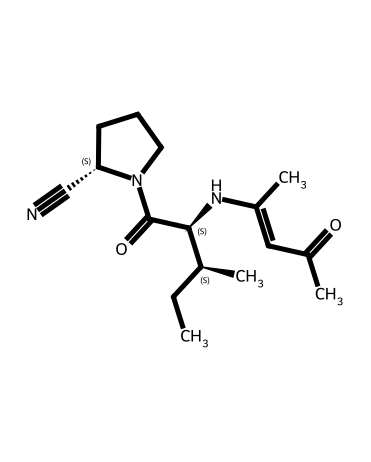 CC[C@H](C)[C@H](NC(C)=CC(C)=O)C(=O)N1CCC[C@H]1C#N